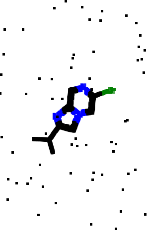 CC(C)c1cn2cc(Br)ncc2n1